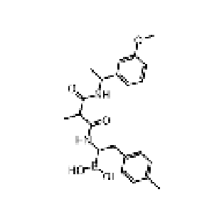 COc1cccc(C(C)NC(=O)C(C)C(=O)N[C@@H](Cc2ccc(C)cc2)B(O)O)c1